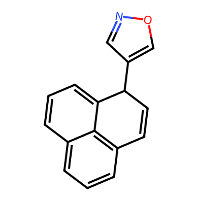 C1=CC(c2cnoc2)c2cccc3cccc1c23